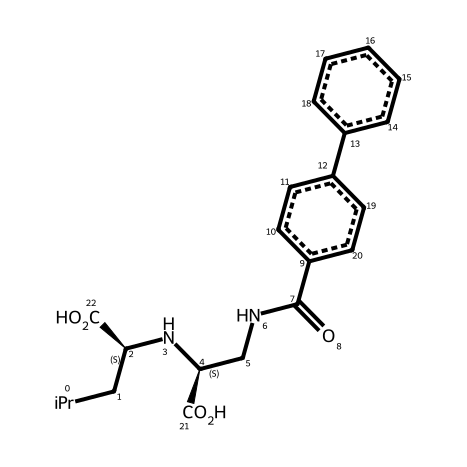 CC(C)C[C@H](N[C@@H](CNC(=O)c1ccc(-c2ccccc2)cc1)C(=O)O)C(=O)O